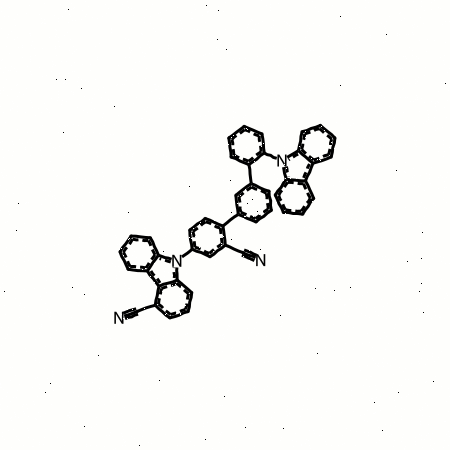 N#Cc1cc(-n2c3ccccc3c3c(C#N)cccc32)ccc1-c1cccc(-c2ccccc2-n2c3ccccc3c3ccccc32)c1